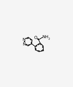 NC(=O)c1ccccc1-c1ccnnc1